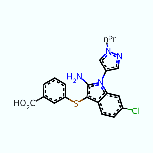 CCCn1cc(-n2c(N)c(Sc3cccc(C(=O)O)c3)c3ccc(Cl)cc32)cn1